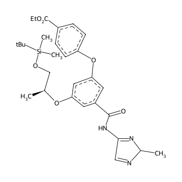 CCOC(=O)c1ccc(Oc2cc(O[C@@H](C)CO[Si](C)(C)C(C)(C)C)cc(C(=O)NC3=NC(C)N=C3)c2)cc1